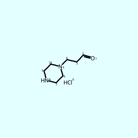 Cl.O=CCCN1CCNCC1